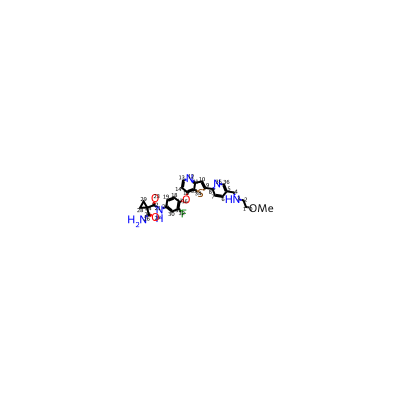 COCCNCc1ccc(-c2cc3nccc(Oc4ccc(NC(=O)C5(C(N)=O)CC5)cc4F)c3s2)nc1